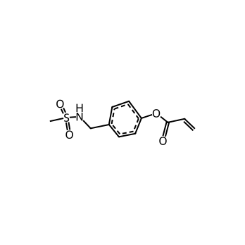 C=CC(=O)Oc1ccc(CNS(C)(=O)=O)cc1